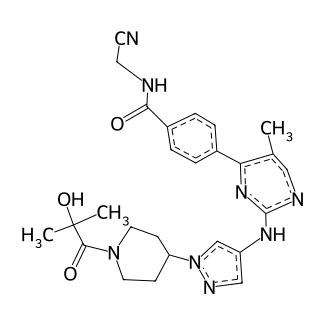 Cc1cnc(Nc2cnn(C3CCN(C(=O)C(C)(C)O)CC3)c2)nc1-c1ccc(C(=O)NCC#N)cc1